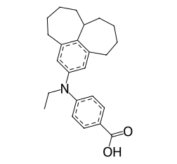 CCN(c1ccc(C(=O)O)cc1)c1cc2c3c(c1)CCCCC3CCCC2